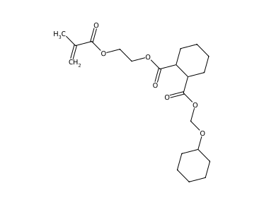 C=C(C)C(=O)OCCOC(=O)C1CCCCC1C(=O)OCOC1CCCCC1